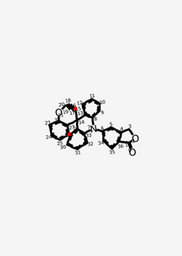 O=C1OCc2cc(N3c4ccccc4C4(c5ccccc5Oc5ccccc54)c4ccccc43)ccc21